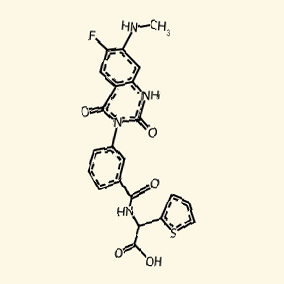 CNc1cc2[nH]c(=O)n(-c3cccc(C(=O)NC(C(=O)O)c4cccs4)c3)c(=O)c2cc1F